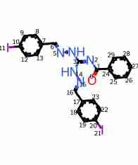 O=C(N=C(NN=Cc1ccc(I)cc1)NN=Cc1ccc(I)cc1)c1ccccc1